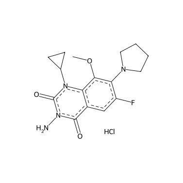 COc1c(N2CCCC2)c(F)cc2c(=O)n(N)c(=O)n(C3CC3)c12.Cl